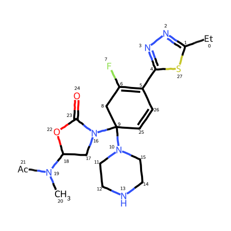 CCc1nnc(C2=C(F)CC(N3CCNCC3)(N3CC(N(C)C(C)=O)OC3=O)C=C2)s1